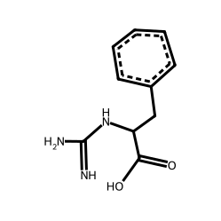 N=C(N)NC(Cc1ccccc1)C(=O)O